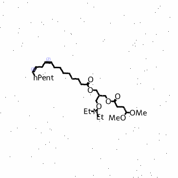 CCCCC/C=C\C/C=C\CCCCCCCC(=O)OCC(COC(=O)CCC(OC)OC)CON(CC)CC